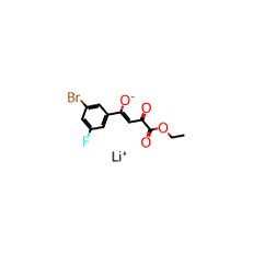 CCOC(=O)C(=O)C=C([O-])c1cc(F)cc(Br)c1.[Li+]